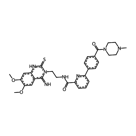 COc1cc2[nH]c(=S)n(CCNC(=O)c3cccc(-c4ccc(C(=O)N5CCN(C)CC5)cc4)n3)c(=N)c2cc1OC